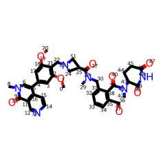 COc1cc(-c2cn(C)c(=O)c3cnccc23)cc(OC)c1CN1CC(C(=O)N(C)Cc2cccc(C=O)c2C(=O)N(C)C2CCC(=O)NC2=O)C1